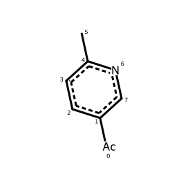 CC(=O)c1c[c]c(C)nc1